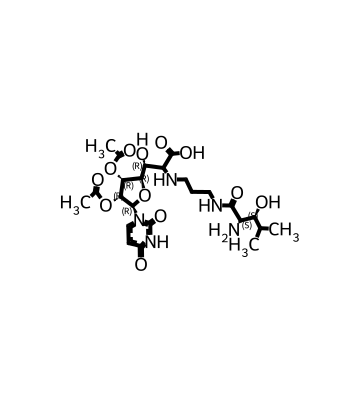 CC(=O)O[C@H]1[C@@H](OC(C)=O)[C@H](n2ccc(=O)[nH]c2=O)O[C@@H]1[C@H](O)C(NCCCNC(=O)[C@@H](N)[C@@H](O)C(C)C)C(=O)O